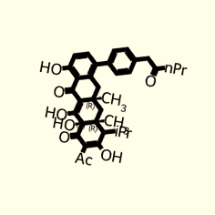 CCCC(=O)Cc1ccc(-c2ccc(O)c3c2C[C@]2(C)C[C@]4(C)C(C(C)C)C(O)=C(C(C)=O)C(=O)[C@]4(O)C(O)=C2C3=O)cc1